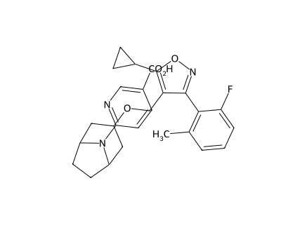 Cc1cccc(F)c1-c1noc(C2CC2)c1COC1CC2CCC(C1)N2c1ccc(C(=O)O)cn1